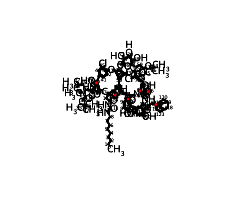 CCCCCCCCCNC(=O)NC(=O)C[C@@H]1CC(=O)[C@H](NC(=O)[C@@H](CC(C)C)N(C)C(=O)OC(C)(C)C)[C@H](O)c2ccc(c(Cl)c2)Oc2cc3cc(c2O[C@@H]2O[C@H](CCC(=O)OC(C)(C)C)[C@@H](O)[C@H](O)[C@H]2O)Oc2ccc(cc2Cl)[C@@H](O)[C@@H]2NC(=O)[C@H](CC(=O)C3NC1=O)c1ccc(O)c(c1)-c1c(O)cc(O)cc1[C@@H](C(=O)CC1C3CC4CC(C3)CC1C4)NC2=O